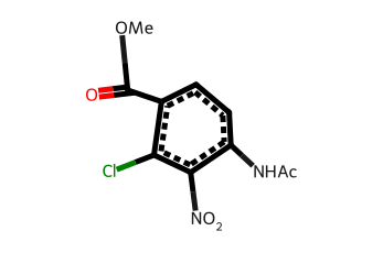 COC(=O)c1ccc(NC(C)=O)c([N+](=O)[O-])c1Cl